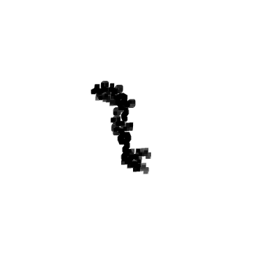 COC(=O)[C@H](CCCN1C(=O)c2ccc(NC(=O)[C@H](C)NC(=O)[C@@H](N)C(C)C)cc2C1=O)NC(=O)c1ccc(CCc2cnc3nc(N)nc(N)c3n2)cc1